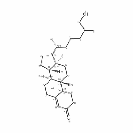 CC(CO)CCC[C@@H](C)[C@H]1CC[C@H]2[C@@H]3CCC4=CC(=O)CC[C@]4(C)[C@H]3CC[C@]12C